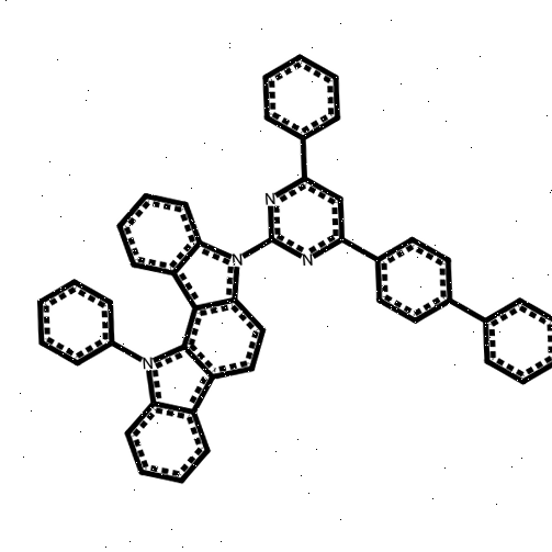 c1ccc(-c2ccc(-c3cc(-c4ccccc4)nc(-n4c5ccccc5c5c4ccc4c6ccccc6n(-c6ccccc6)c45)n3)cc2)cc1